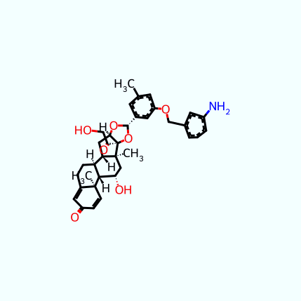 Cc1cc(OCc2cccc(N)c2)cc([C@H]2O[C@@H]3C[C@H]4[C@@H]5CCC6=CC(=O)C=C[C@]6(C)[C@H]5[C@@H](O)C[C@]4(C)[C@]3(C(=O)CO)O2)c1